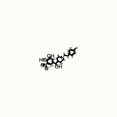 Cc1ccc(CCN2CCC(C(O)c3cc(O)c(O)c([N+](=O)[O-])c3)CC2)cc1